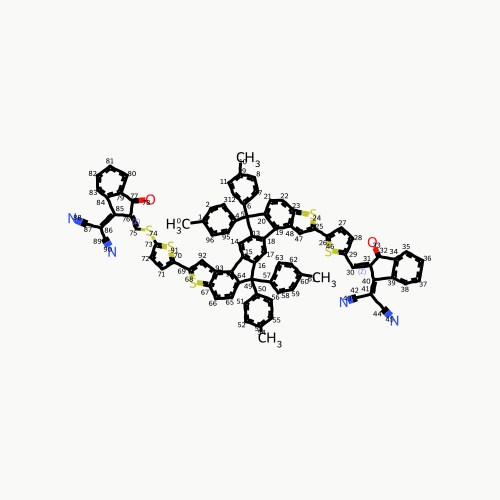 Cc1ccc(C2(c3ccc(C)cc3)c3cc4c(cc3-c3c2ccc2sc(-c5ccc(/C=C6\C(=O)c7ccccc7C6=C(C#N)C#N)s5)cc32)C(c2ccc(C)cc2)(c2ccc(C)cc2)c2ccc3sc(-c5ccc(S/C=C6\C(=O)c7ccccc7C6=C(C#N)C#N)s5)cc3c2-4)cc1